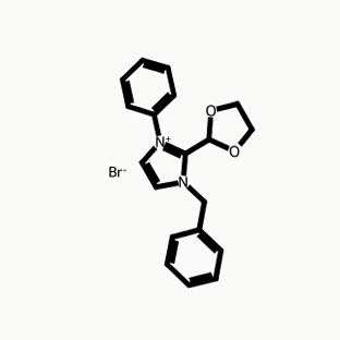 [Br-].c1ccc(Cn2cc[n+](-c3ccccc3)c2C2OCCO2)cc1